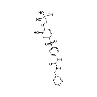 O=C(NCc1cccnc1)Nc1ccc(S(=O)(=O)c2ccc(OCC(O)(O)O)c(O)c2)cc1